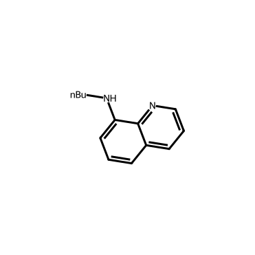 CCCCNc1cccc2cccnc12